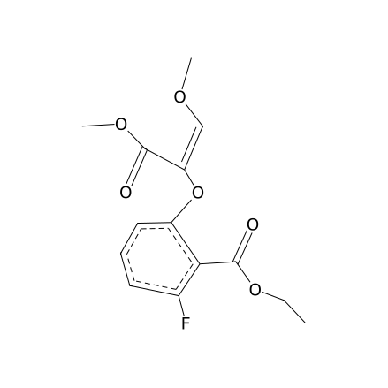 CCOC(=O)c1c(F)cccc1O/C(=C/OC)C(=O)OC